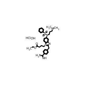 CCOC(=O)CCCn1c(Cc2ccc(C(=N)N)cc2)nc2cc(N(CCCN(C)C)S(=O)(=O)c3ccccc3)ccc21.Cl.Cl